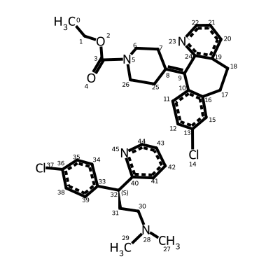 CCOC(=O)N1CCC(=C2c3ccc(Cl)cc3CCc3cccnc32)CC1.CN(C)CC[C@@H](c1ccc(Cl)cc1)c1ccccn1